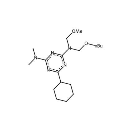 CCCCOCN(COC)c1nc(C2CCCCC2)nc(N(C)C)n1